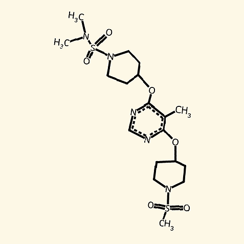 Cc1c(OC2CCN(S(C)(=O)=O)CC2)ncnc1OC1CCN(S(=O)(=O)N(C)C)CC1